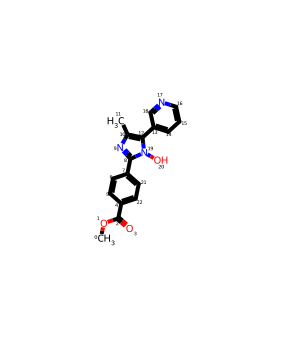 COC(=O)c1ccc(-c2nc(C)c(-c3cccnc3)n2O)cc1